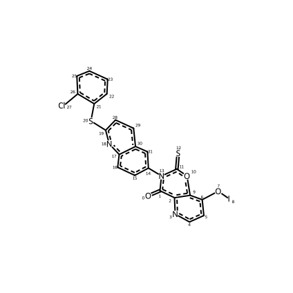 O=c1c2nccc(OI)c2oc(=S)n1-c1ccc2nc(Sc3ccccc3Cl)ccc2c1